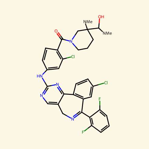 CNC(O)C1(NC)CCCN(C(=O)c2ccc(Nc3ncc4c(n3)-c3ccc(Cl)cc3C(c3c(F)cccc3F)=NC4)cc2Cl)C1